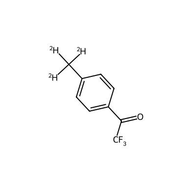 [2H]C([2H])([2H])c1ccc(C(=O)C(F)(F)F)cc1